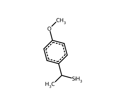 COc1ccc(C(C)[SiH3])cc1